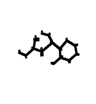 CCC(O)NC(CC)C1CCCCC1C